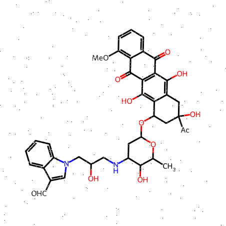 COc1cccc2c1C(=O)c1c(O)c3c(c(O)c1C2=O)CC(O)(C(C)=O)CC3OC1CC(NCC(O)Cn2cc(C=O)c3ccccc32)C(O)C(C)O1